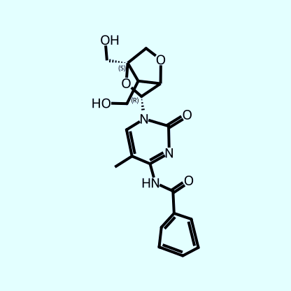 Cc1cn([C@@H]2O[C@@]3(CO)COC2C3CO)c(=O)nc1NC(=O)c1ccccc1